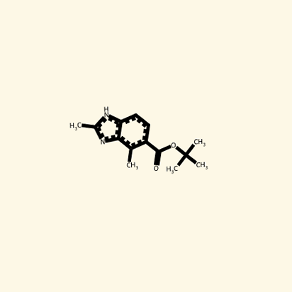 Cc1nc2c(C)c(C(=O)OC(C)(C)C)ccc2[nH]1